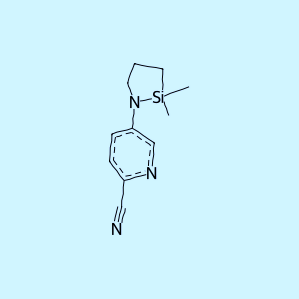 C[Si]1(C)CCCN1c1ccc(C#N)nc1